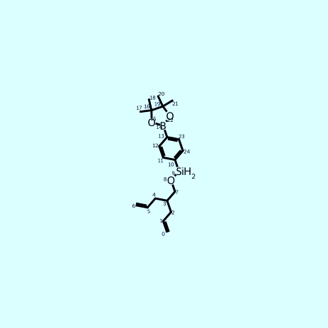 C=CCC(CC=C)CO[SiH2]c1ccc(B2OC(C)(C)C(C)(C)O2)cc1